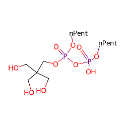 CCCCCOP(=O)(O)OP(=O)(OCCCCC)OCC(CO)(CO)CO